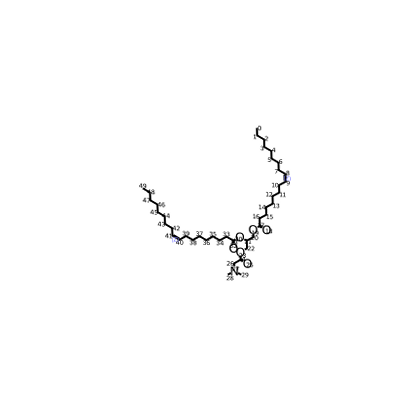 CCCCCCCC/C=C\CCCCCCCC(=O)OCC(COC(=O)CN(C)C)OC(=O)CCCCCCC/C=C\CCCCCCCC